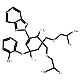 CCCCC(CC)COCC1(COCC(CC)CCCC)CC(C)(Oc2ccccc2O)C=C(n2nc3ccccc3n2)C1C